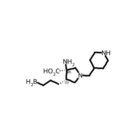 BCCC[C@H]1CN(CC2CCNCC2)C[C@@]1(N)C(=O)O